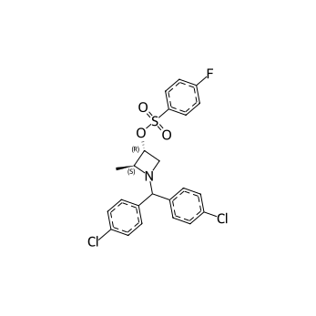 C[C@H]1[C@H](OS(=O)(=O)c2ccc(F)cc2)CN1C(c1ccc(Cl)cc1)c1ccc(Cl)cc1